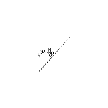 CCCCCCCCCCCCCCCCC(CCCCCCCCCCCCCCC)OC(=O)NCCCON(C)COC(C)(C)C